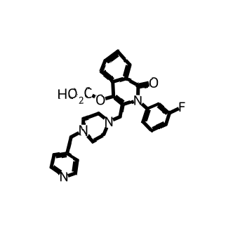 O=C(O)Oc1c(CN2CCN(Cc3ccncc3)CC2)n(-c2cccc(F)c2)c(=O)c2ccccc12